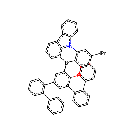 CC(C)c1cc2c3c(c1)-n1c4ccccc4c4cccc(c41)B3c1cc(-c3ccccc3-c3ccccc3)cc(-c3ccccc3-c3ccccc3)c1O2